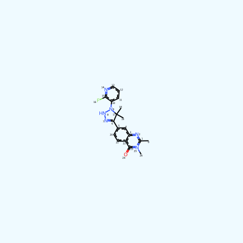 Cc1nc2cc(C3=NNN(c4cccnc4F)C3(C)C)ccc2c(=O)n1C